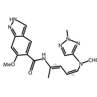 COc1cc2n[nH]cc2cc1C(=O)N/C(C)=C/C=C\N(C=O)c1cnn(C)n1